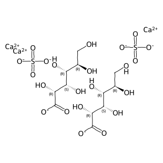 O=C([O-])[C@H](O)[C@@H](O)[C@H](O)[C@H](O)CO.O=C([O-])[C@H](O)[C@@H](O)[C@H](O)[C@H](O)CO.O=S(=O)([O-])[O-].O=S(=O)([O-])[O-].[Ca+2].[Ca+2].[Ca+2]